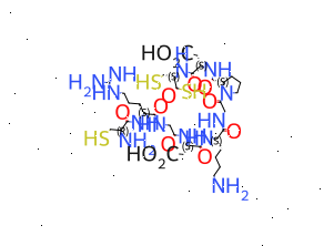 N=C(N)NCCC[C@H](NC(=O)[C@@H](N)CS)C(=O)NCC(=O)N[C@@H](CC(=O)O)C(=O)N[C@@H](CCCCN)C(=O)NCC(=O)N1CCC[C@H]1C(=O)N[C@@H](CC(=O)O)C(=O)N[C@@H](CS)C(=O)S